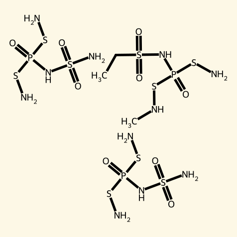 CCS(=O)(=O)NP(=O)(SN)SNC.NSP(=O)(NS(N)(=O)=O)SN.NSP(=O)(NS(N)(=O)=O)SN